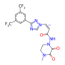 CN1CCN(NC(=O)/C=C\n2cnc(-c3cc(C(F)(F)F)cc(C(F)(F)F)c3)n2)C(=O)C1=O